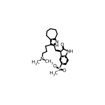 CN(C)CCCc1c(/C=C2\C(=O)Nc3ccc(S(C)(=O)=O)cc32)[nH]c2c1CCCCC2